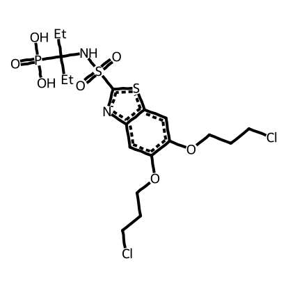 CCC(CC)(NS(=O)(=O)c1nc2cc(OCCCCl)c(OCCCCl)cc2s1)P(=O)(O)O